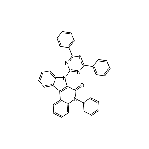 O=c1c2c(c3ccccc3n1-c1ccccc1)c1ccccc1n2-c1nc(-c2ccccc2)nc(-c2ccccc2)n1